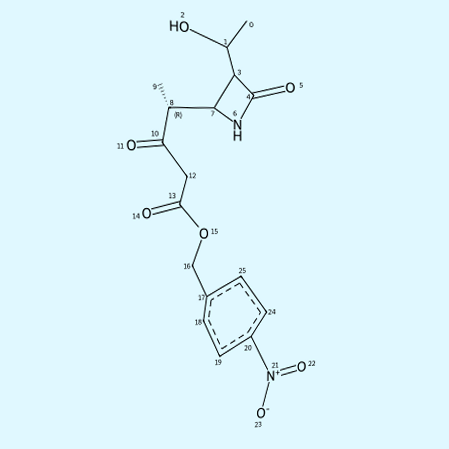 CC(O)C1C(=O)NC1[C@@H](C)C(=O)CC(=O)OCc1ccc([N+](=O)[O-])cc1